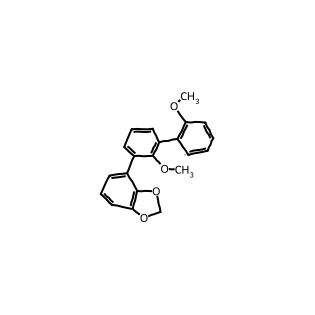 COc1ccc[c]c1-c1cccc(-c2cccc3c2OCO3)c1OC